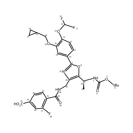 C[C@H](NC(=O)OC(C)(C)C)c1oc(-c2ccc(OC(F)F)c(OCC3CC3)c2)nc1CNC(=O)c1ccc(C(=O)O)cc1F